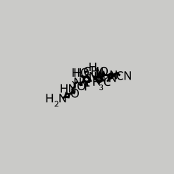 Cc1cc(Nc2nccn3c(-c4cn(CC#N)nc4C(F)(F)F)cnc23)cc(F)c1C(=O)N[C@H](C)CNC(=O)C1CC(N)C1.O=CO